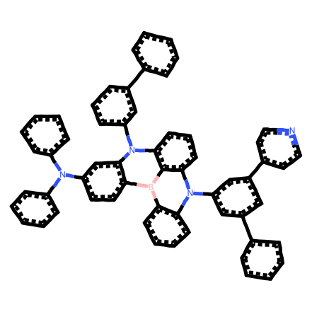 c1ccc(-c2cccc(N3c4cc(N(c5ccccc5)c5ccccc5)ccc4B4c5ccccc5N(c5cc(-c6ccccc6)cc(-c6ccncc6)c5)c5cccc3c54)c2)cc1